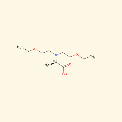 CCOCCN(CCOCC)[C@H](C)C(=O)O